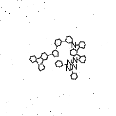 c1ccc(-c2nc(-c3ccccc3)nc(-n3c4ccccc4c4c5c6ccccc6n(-c6cccc(-c7cccc(-c8cccc(-c9ccc%10c%11ccccc%11c%11ccccc%11c%10c9)c8)c7)c6)c5ccc43)n2)cc1